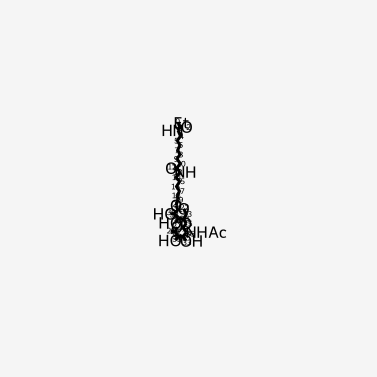 CCC(=O)NCCCCCCCC(=O)NCCCCCCOC1OCC(OC2OC(C)C(O)C(O)C2NC(C)=O)C(O)C1O